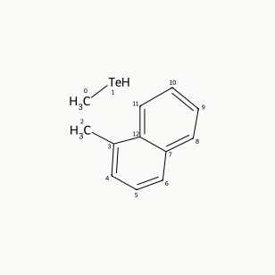 C[TeH].Cc1cccc2ccccc12